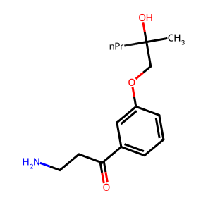 CCCC(C)(O)COc1cccc(C(=O)CCN)c1